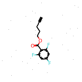 C#CCCCOC(=O)c1c(F)cc(F)cc1F